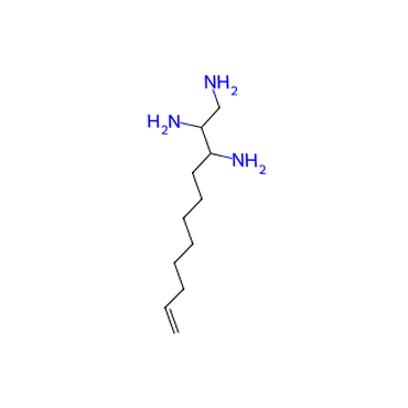 C=CCCCCCCC(N)C(N)CN